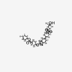 Cc1ccc(OC(=O)N2CCC(Oc3nc4ccc(C5CCN(S(=O)(=O)CCC(C)(C)O)CC5)cc4s3)CC2)cc1